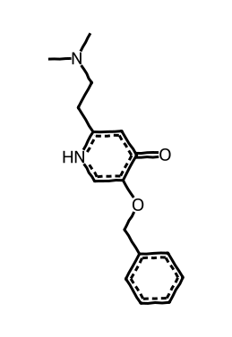 CN(C)CCc1cc(=O)c(OCc2ccccc2)c[nH]1